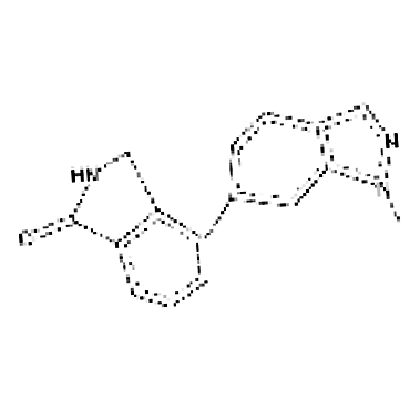 Cn1ncc2ccc(-c3cccc4c3CNC4=O)cc21